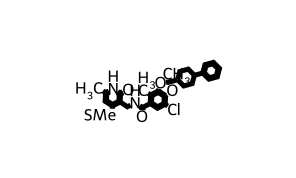 CSc1cc(C)[nH]c(=O)c1CNC(=O)c1cc(Cl)c2c(c1C)OC(C)(C1CCC(c3ccccc3)CC1)O2